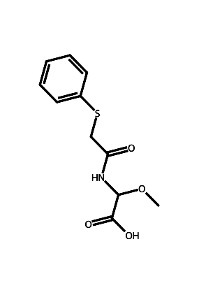 COC(NC(=O)CSc1ccccc1)C(=O)O